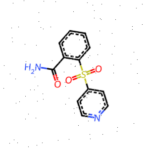 NC(=O)c1ccccc1S(=O)(=O)c1ccncc1